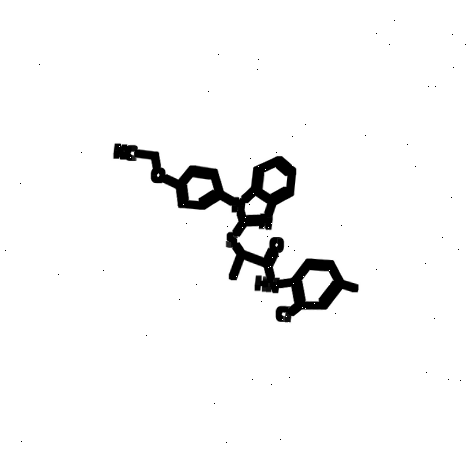 Cc1ccc(NC(=O)C(C)Sc2nc3ccccc3n2-c2ccc(OCC#N)cc2)c(Cl)c1